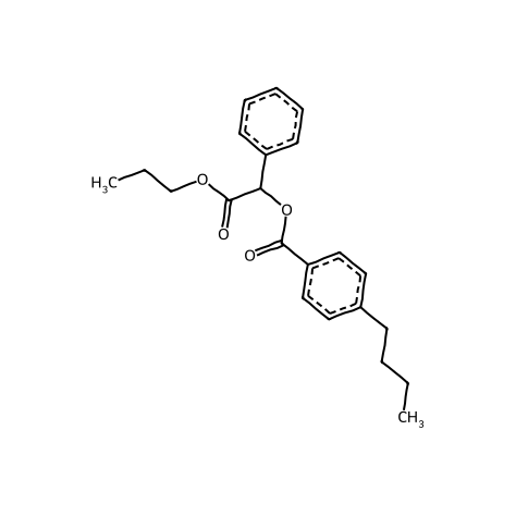 CCCCc1ccc(C(=O)OC(C(=O)OCCC)c2ccccc2)cc1